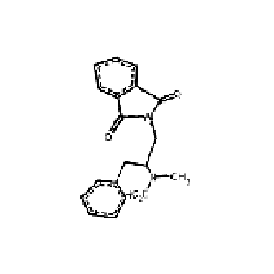 CN(C(=O)O)C(Cc1ccccc1)CN1C(=O)c2ccccc2C1=O